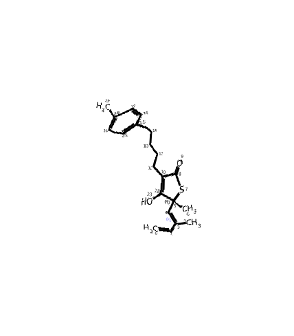 C=C/C(C)=C/[C@@]1(C)SC(=O)C(CCCCc2ccc(C)cc2)=C1O